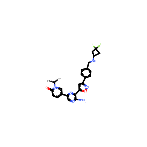 CCC(CC)n1cc(-c2cnc(N)c(-c3cc(-c4ccc(CNC5CC(F)(F)C5)cc4)no3)n2)ccc1=O